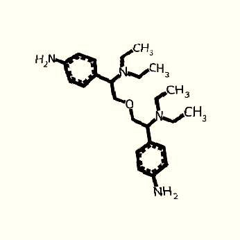 CCN(CC)C(COCC(c1ccc(N)cc1)N(CC)CC)c1ccc(N)cc1